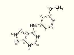 COc1cccc(Nc2ncnc3[nH]ncc23)c1